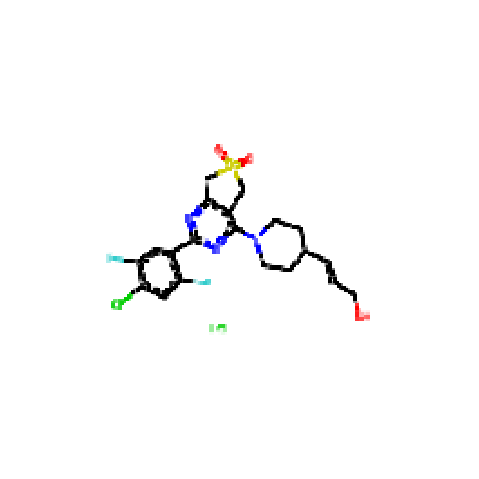 Cl.O=S1(=O)Cc2nc(-c3cc(F)c(Cl)cc3F)nc(N3CCC(C=CCO)CC3)c2C1